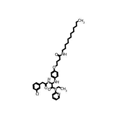 CCCCCCCCCCCCNC(=O)CCCOc1ccc(NC(NC(=O)Cc2cccc(Cl)c2)C(=O)N(CC)c2ccccn2)cc1